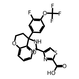 O=C(NC1(c2ccc(OC(F)(F)F)c(F)c2)CCOc2cccnc21)c1csc(C(=O)O)n1